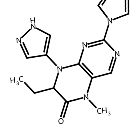 CCC1C(=O)N(C)c2cnc(-n3ccnc3)nc2N1c1cn[nH]c1